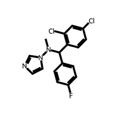 CN(C(c1ccc(F)cc1)c1ccc(Cl)cc1Cl)n1ccnc1